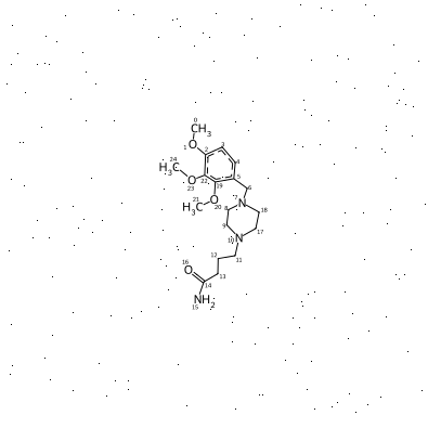 COc1ccc(CN2CCN(CCCC(N)=O)CC2)c(OC)c1OC